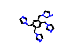 C1=CN(Cc2cc(Cn3ccnc3)c(Cn3ccnc3)cc2Cn2ccnc2)CN1